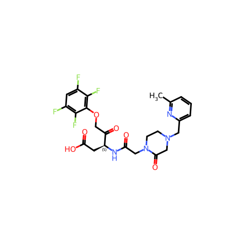 Cc1cccc(CN2CCN(CC(=O)N[C@@H](CC(=O)O)C(=O)COc3c(F)c(F)cc(F)c3F)C(=O)C2)n1